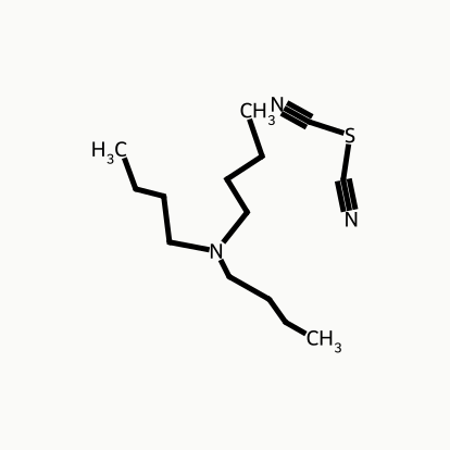 CCCCN(CCCC)CCCC.N#CSC#N